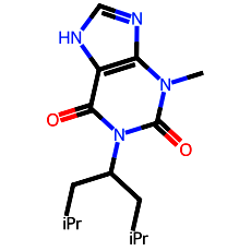 CC(C)CC(CC(C)C)n1c(=O)c2[nH]cnc2n(C)c1=O